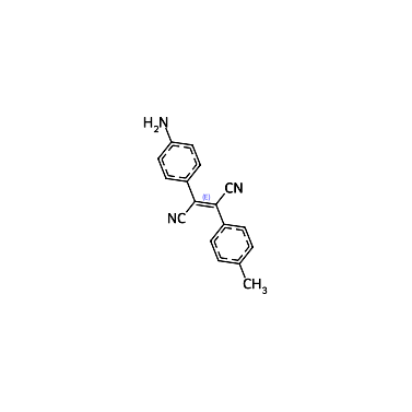 Cc1ccc(/C(C#N)=C(\C#N)c2ccc(N)cc2)cc1